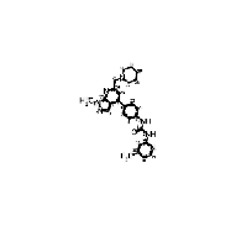 Cn1ncc2c(-c3ccc(NC(=O)Nc4cc(C(F)(F)F)ccn4)cc3)cc(CN3CCCCC3)nc21